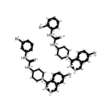 S=C(Nc1cccc(Br)c1)NC1CCN(c2nncc3cc(Br)ccc23)CC1.S=C(Nc1ccccc1Br)NC1CCN(c2nncc3cc(Br)ccc23)CC1